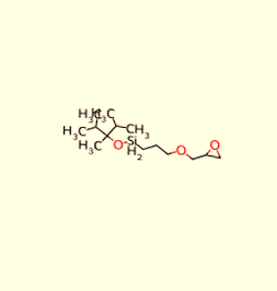 CC(C)C(C)(O[SiH2]CCCOCC1CO1)C(C)C